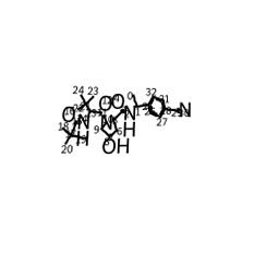 CC(NC(=O)C1CC(O)CN1C(=O)C(NC(=O)C(C)(C)C)C(C)(C)C)c1ccc(C#N)cc1